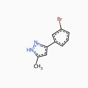 Cc1cc(-c2cccc(Br)c2)n[nH]1